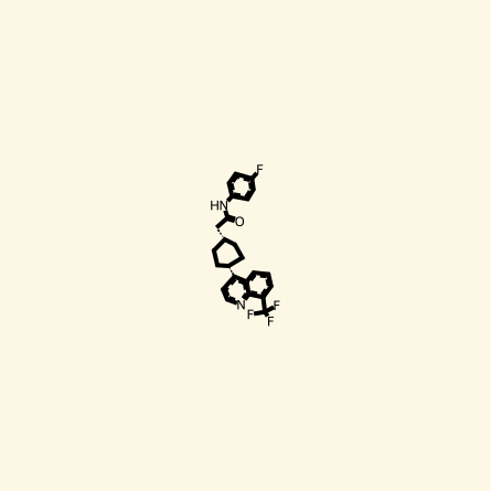 O=C(C[C@H]1CC[C@@H](c2ccnc3c(C(F)(F)F)cccc32)CC1)Nc1ccc(F)cc1